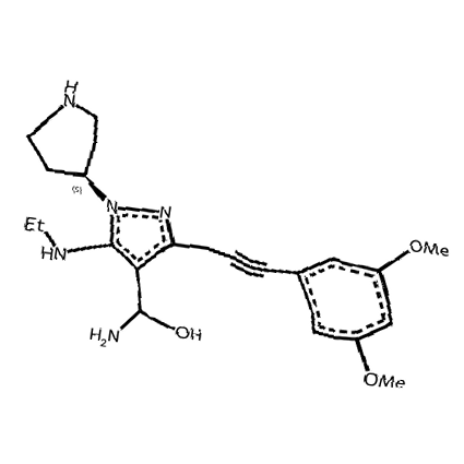 CCNc1c(C(N)O)c(C#Cc2cc(OC)cc(OC)c2)nn1[C@H]1CCNC1